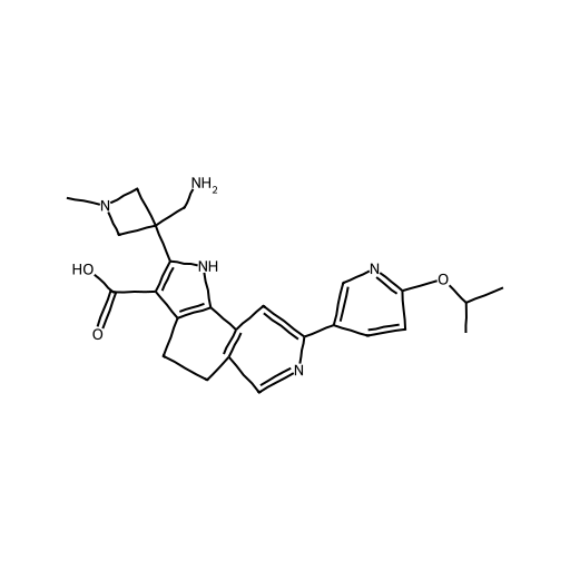 CC(C)Oc1ccc(-c2cc3c(cn2)CCc2c-3[nH]c(C3(CN)CN(C)C3)c2C(=O)O)cn1